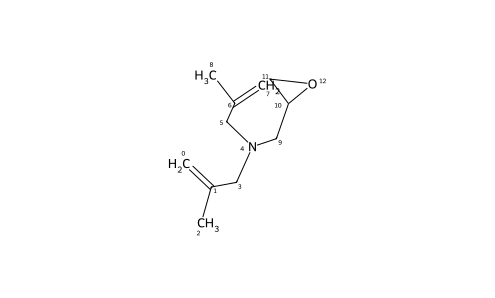 C=C(C)CN(CC(=C)C)CC1CO1